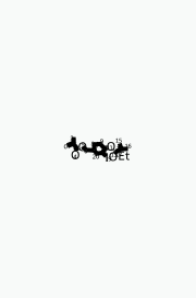 C=C(C)C(=O)OCC1CCC(OC(=O)C(C)(C)CC)C(I)C1